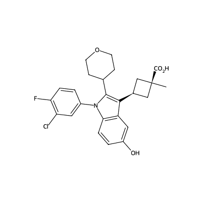 C[C@]1(C(=O)O)C[C@@H](c2c(C3CCOCC3)n(-c3ccc(F)c(Cl)c3)c3ccc(O)cc32)C1